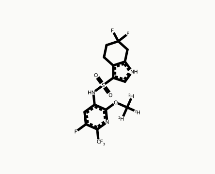 [2H]C([2H])([2H])Oc1nc(C(F)(F)F)c(F)cc1NS(=O)(=O)c1c[nH]c2c1CCC(F)(F)C2